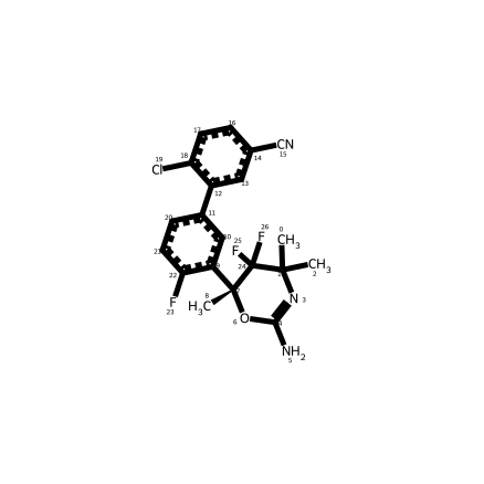 CC1(C)N=C(N)O[C@](C)(c2cc(-c3cc(C#N)ccc3Cl)ccc2F)C1(F)F